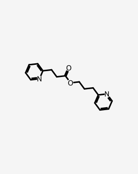 O=C(CCc1ccccn1)OCCCc1ccccn1